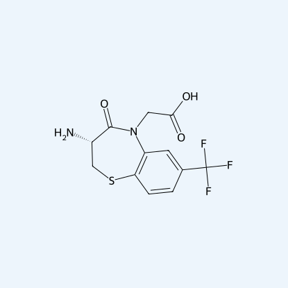 N[C@H]1CSc2ccc(C(F)(F)F)cc2N(CC(=O)O)C1=O